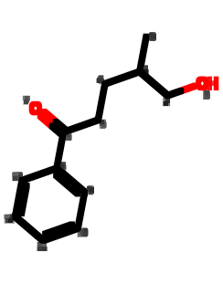 CC(CO)CCC(=O)c1ccccc1